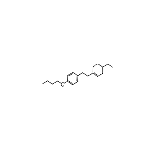 CCCCOc1ccc(CCC2=CCC(CC)CC2)cc1